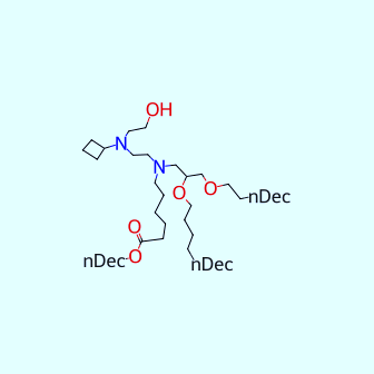 CCCCCCCCCCCCCCOC(COCCCCCCCCCCCC)CN(CCCCCC(=O)OCCCCCCCCCC)CCN(CCO)C1CCC1